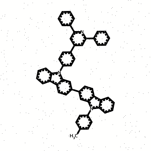 Cc1ccc(-n2c3ccccc3c3ccc(-c4ccc5c6ccccc6n(-c6ccc(-c7cc(-c8ccccc8)nc(-c8ccccc8)c7)cc6)c5c4)cc32)cc1